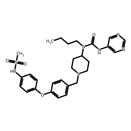 CCCCN(C(=O)Nc1cncnc1)C1CCN(Cc2ccc(Oc3ccc(NS(C)(=O)=O)cc3)cc2)CC1